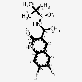 C[C@H](N[S+]([O-])C(C)(C)C)c1cc2cc(Cl)c(F)cc2[nH]c1=O